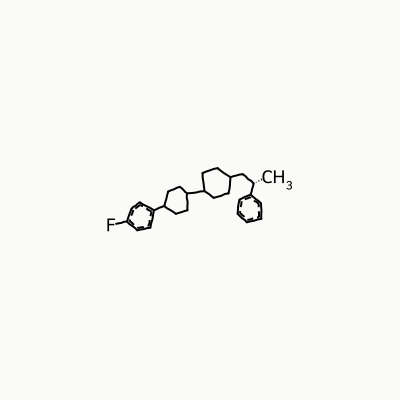 C[C@@H](CC1CCC(C2CCC(c3ccc(F)cc3)CC2)CC1)c1ccccc1